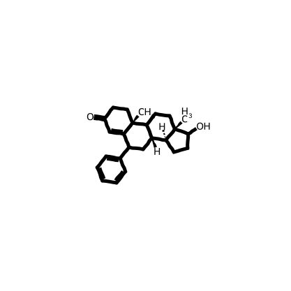 C[C@]12CCC(=O)C=C1C(c1ccccc1)C[C@@H]1C2CC[C@]2(C)C(O)CC[C@@H]12